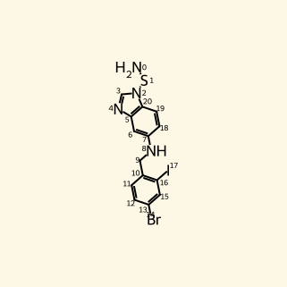 NSn1cnc2cc(NCc3ccc(Br)cc3I)ccc21